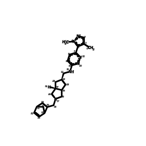 Cc1cnn(C)c1-c1ccc(NC[C@H]2CC3CN(CC4CC5C=CC4C5)C[C@@H]3C2)nn1